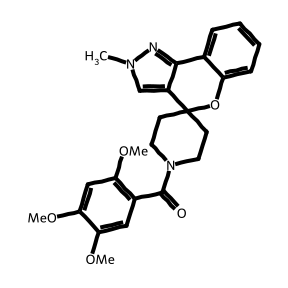 COc1cc(OC)c(C(=O)N2CCC3(CC2)Oc2ccccc2-c2nn(C)cc23)cc1OC